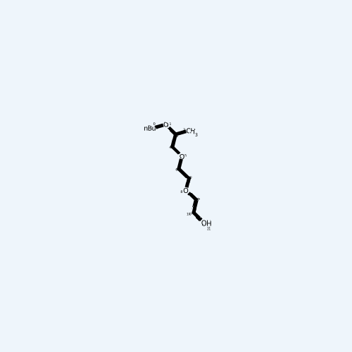 CCCCOC(C)COCCOCCO